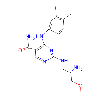 COCC(N)CNc1ncc(C(N)=O)c(Nc2ccc(C)c(C)c2)n1